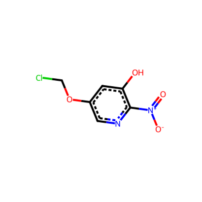 O=[N+]([O-])c1ncc(OCCl)cc1O